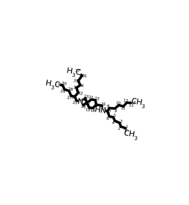 CCCCCCCC(CCCCCCC)NCC1CCC2(CC1)CN(CC(CCCCC)CCCCCC)C2